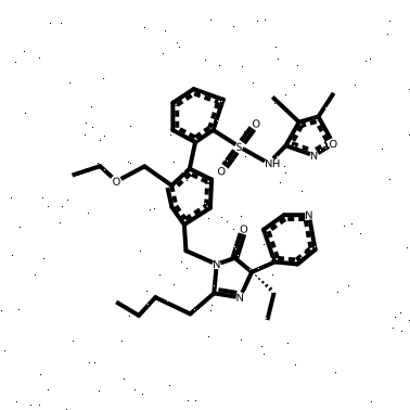 CCCCC1=N[C@](CC)(c2ccncc2)C(=O)N1Cc1ccc(-c2ccccc2S(=O)(=O)Nc2noc(C)c2C)c(COCC)c1